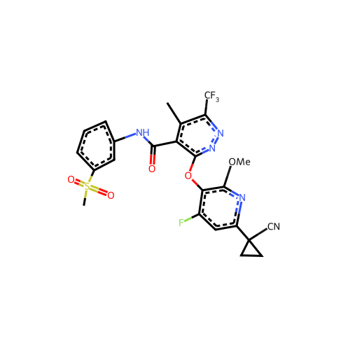 COc1nc(C2(C#N)CC2)cc(F)c1Oc1nnc(C(F)(F)F)c(C)c1C(=O)Nc1cccc(S(C)(=O)=O)c1